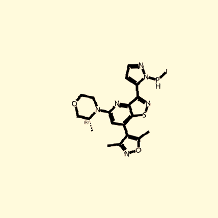 Cc1noc(C)c1-c1cc(N2CCOC[C@H]2C)nc2c(-c3ccnn3PI)nsc12